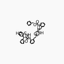 CN(C(=O)O)[C@H](C(=O)Nc1ccccc1CC[C@@H]1CN[C@H](CCc2ccccc2NC(=O)OCc2ccccc2)CO1)C(c1ccccc1)c1ccccc1